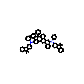 CC1(C)c2ccccc2-c2cc(N(c3ccccc3)c3ccc4c(c3)C(c3ccccc3)(c3ccccc3)c3cccc5c3c-4cc3c4ccccc4c(N(c4ccccc4)c4ccc6c(c4)C(C)(C)c4ccccc4-6)cc53)ccc21